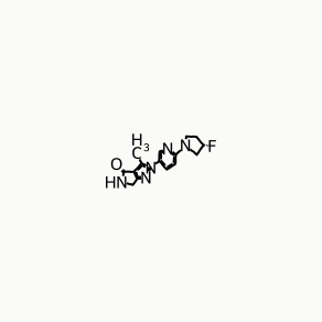 Cc1c2c(nn1-c1ccc(N3CC[C@H](F)C3)nc1)CNC2=O